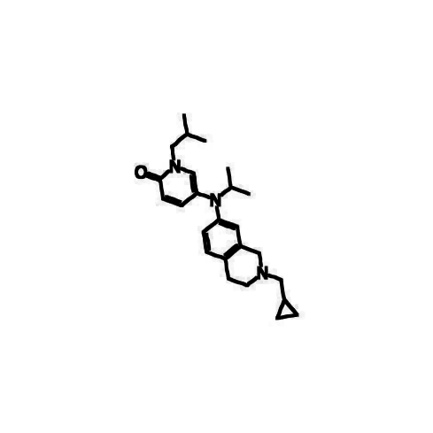 CC(C)Cn1cc(N(c2ccc3c(c2)CN(CC2CC2)CC3)C(C)C)ccc1=O